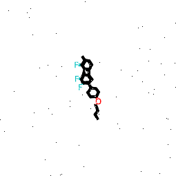 CCCCOC1CCC(c2cc3c(c(F)c2F)-c2c-3ccc(C)c2F)CC1